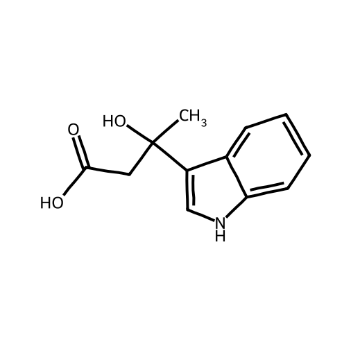 CC(O)(CC(=O)O)c1c[nH]c2ccccc12